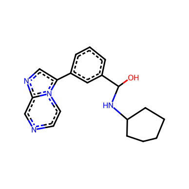 OC(NC1CCCCC1)c1cccc(-c2cnc3cnccn23)c1